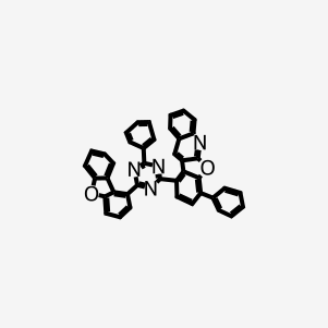 c1ccc(-c2nc(-c3cccc4oc5ccccc5c34)nc(-c3ccc(-c4ccccc4)c4oc5nc6ccccc6cc5c34)n2)cc1